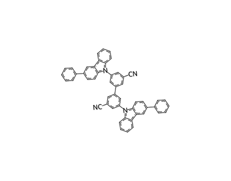 N#Cc1cc(-c2cc(C#N)cc(-n3c4ccccc4c4cc(-c5ccccc5)ccc43)c2)cc(-n2c3ccccc3c3cc(-c4ccccc4)ccc32)c1